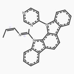 C/C=C\N=C(/C)n1c2ccccc2c2ccc3c4ccccc4n(-c4ccncn4)c3c21